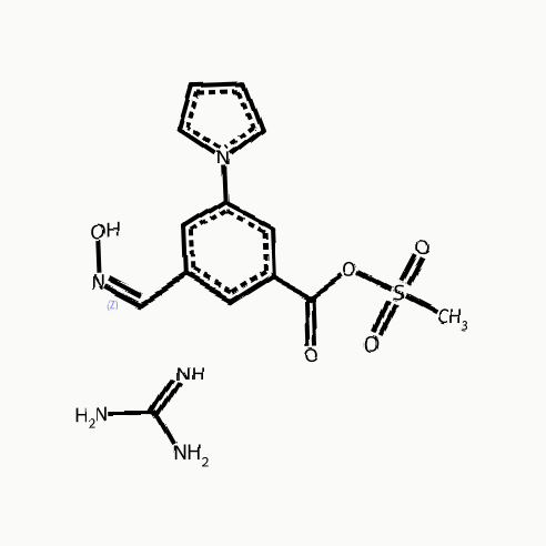 CS(=O)(=O)OC(=O)c1cc(/C=N\O)cc(-n2cccc2)c1.N=C(N)N